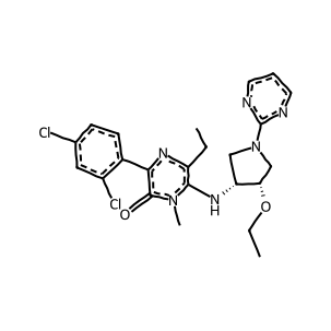 CCO[C@H]1CN(c2ncccn2)C[C@H]1Nc1c(CC)nc(-c2ccc(Cl)cc2Cl)c(=O)n1C